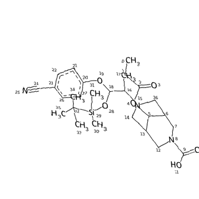 CCC(=O)OC1C2CN(C(=O)O)CC1CN(C(C)C(Oc1ccc(C#N)cc1)O[Si](C)(C)C(C)(C)C)C2